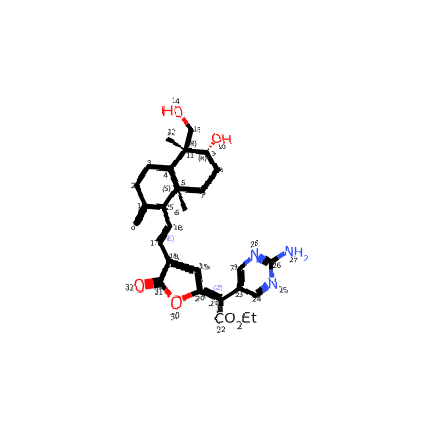 C=C1CCC2[C@](C)(CC[C@@H](O)[C@@]2(C)CO)C1/C=C/C1=CC(=C(/C(=O)OCC)c2cnc(N)nc2)/OC1=O